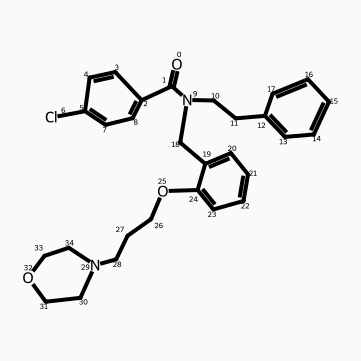 O=C(c1ccc(Cl)cc1)N(CCc1ccccc1)Cc1ccccc1OCCCN1CCOCC1